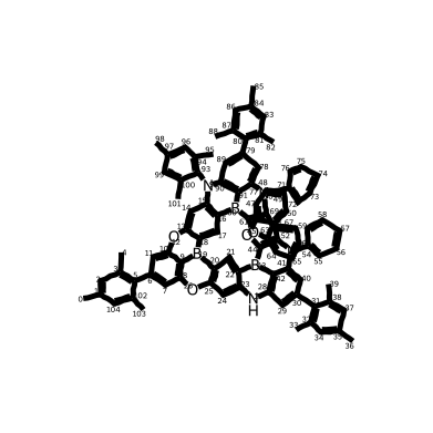 Cc1cc(C)c(-c2cc3c4c(c2)Oc2cc5c(cc2B4c2cc4c(cc2O3)Nc2cc(-c3c(C)cc(C)cc3C)cc3c2B4c2oc4ccccc4c2N3c2ccccc2)B2c3oc4ccccc4c3N(c3ccccc3)c3cc(-c4c(C)cc(C)cc4C)cc(c32)N5c2c(C)cc(C)cc2C)c(C)c1